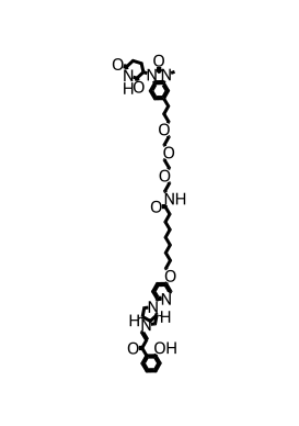 Cn1c(=O)n(C2CCC(=O)NC2=O)c2ccc(CCCOCCOCCOCCNC(=O)CCCCCCCCOc3ccc(N4C[C@H]5C[C@@H]4CN5/C=C/C(=O)c4ccccc4O)nc3)cc21